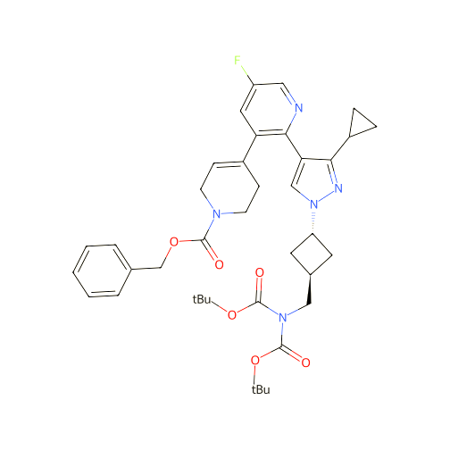 CC(C)(C)OC(=O)N(C[C@H]1C[C@H](n2cc(-c3ncc(F)cc3C3=CCN(C(=O)OCc4ccccc4)CC3)c(C3CC3)n2)C1)C(=O)OC(C)(C)C